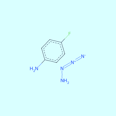 Nc1ccc(F)cc1.[N-]=[N+]=NN